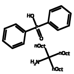 CCCCCCCCC(N)(CCCCCCCC)CCCCCCCC.O=P(O)(c1ccccc1)c1ccccc1